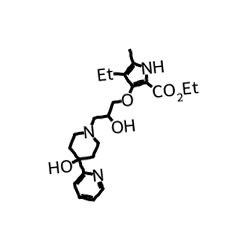 CCOC(=O)c1[nH]c(C)c(CC)c1OCC(O)CN1CCC(O)(c2ccccn2)CC1